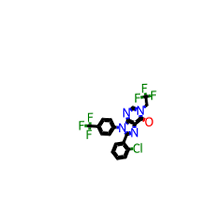 O=c1c2nc(-c3ccccc3Cl)n(-c3ccc(C(F)(F)F)cc3)c2ncn1CC(F)(F)F